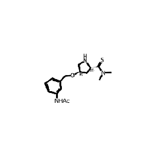 CC(=O)Nc1cccc(CO[C@H]2CN[C@H](C(=S)N(C)C)C2)c1